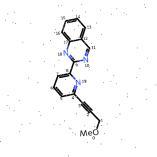 COCC#Cc1cccc(-c2ncc3ccccc3n2)n1